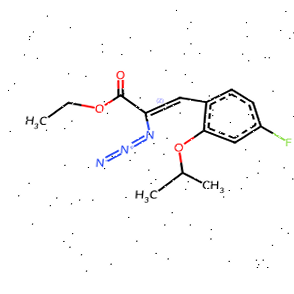 CCOC(=O)/C(=C/c1ccc(F)cc1OC(C)C)N=[N+]=[N-]